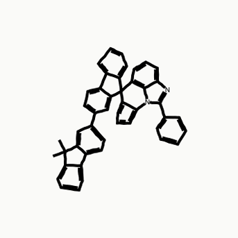 CC1(C)c2ccccc2-c2ccc(-c3ccc4c(c3)C3(c5ccccc5-4)c4ccccc4-n4c(-c5ccccc5)nc5cccc3c54)cc21